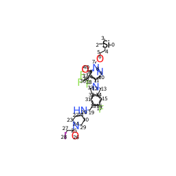 C[Si](C)(C)CCOCn1ncc(N2Cc3cc(F)c(CNC4CCN(C(=O)CI)CC4)cc3C2)c(C(F)(F)F)c1=O